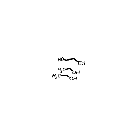 CCO.CCO.OCCO